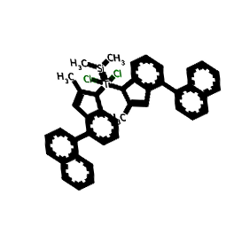 CC1=Cc2c(-c3cccc4ccccc34)cccc2[CH]1[Ti]([Cl])([Cl])([CH]1C(C)=Cc2c(-c3cccc4ccccc34)cccc21)=[Si](C)C